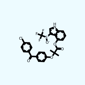 CC(C)(Oc1ccc(C(=O)c2ccc(Cl)cc2)cc1)C(=O)Oc1cccc2[nH]cc([S+]([O-])C(F)(F)F)c12